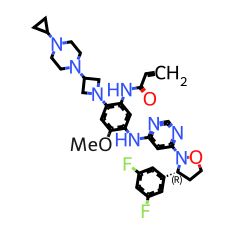 C=CC(=O)Nc1cc(Nc2cc(N3OCC[C@@H]3c3cc(F)cc(F)c3)ncn2)c(OC)cc1N1CC(N2CCN(C3CC3)CC2)C1